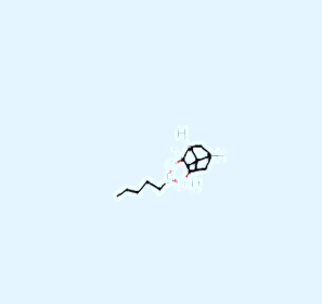 CCCC[CH]B1O[C@@H]2C[C@@H]3C[C@@H](C3(C)C)[C@]2(C)O1